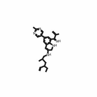 C=CC(CC)CC(C)CNC1=Cc2cc(-c3cnc(C)nc3)cc(C(=N)C(=C)C)c2NC1